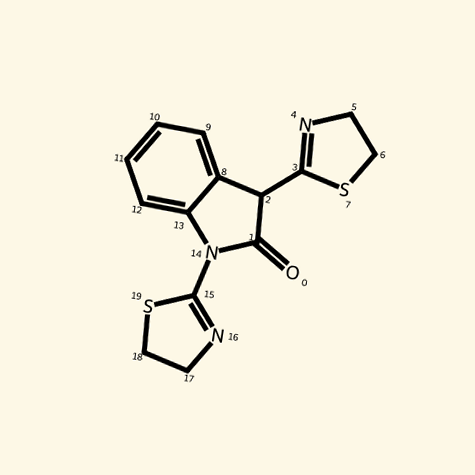 O=C1C(C2=NCCS2)c2ccccc2N1C1=NCCS1